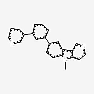 Cn1c2ccncc2c2cc(-c3cccc(-c4cccnc4)c3)ccc21